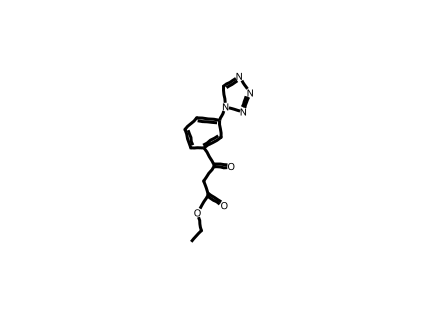 CCOC(=O)CC(=O)c1cccc(-n2cnnn2)c1